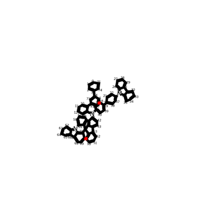 c1ccc(-c2cccc(-c3ccccc3N(c3ccc(-c4ccc(-n5c6ccccc6c6ccccc65)cc4)cc3)c3ccc4c(c3)C3(c5ccccc5-4)c4ccccc4-n4c5ccccc5c5cccc3c54)c2)cc1